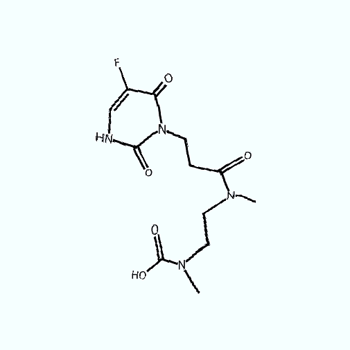 CN(CCN(C)C(=O)CCn1c(=O)[nH]cc(F)c1=O)C(=O)O